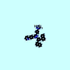 C/C=C\C(=N/C)c1ccc(-c2cc(-c3ccc(-c4ccccn4)cc3)nc(-c3cc(-c4cccc5ccccc45)cc(-c4cccc5ccccc45)c3)n2)cc1